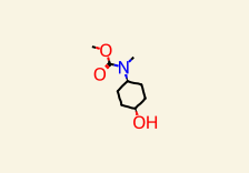 COC(=O)N(C)[C@H]1CC[C@@H](O)CC1